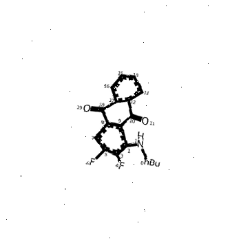 CCCCNc1c(F)c(F)cc2c1C(=O)c1ccccc1C2=O